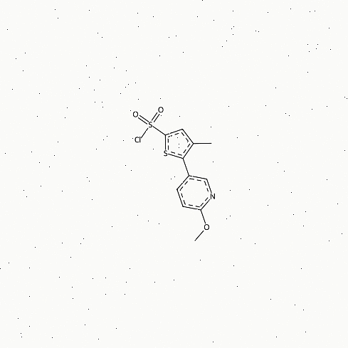 COc1ccc(-c2sc(S(=O)(=O)Cl)cc2C)cn1